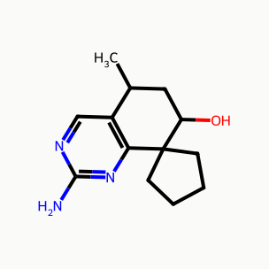 CC1CC(O)C2(CCCC2)c2nc(N)ncc21